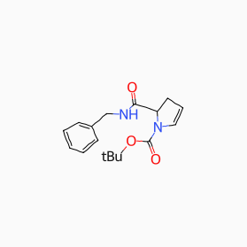 CC(C)(C)OC(=O)N1C=CCC1C(=O)NCc1ccccc1